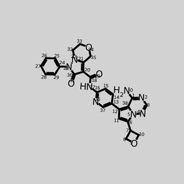 Nc1ncnn2c(C3COC3)cc(-c3ccc(NC(=O)c4c5n(n(-c6ccccc6)c4=O)CCOC5)nc3)c12